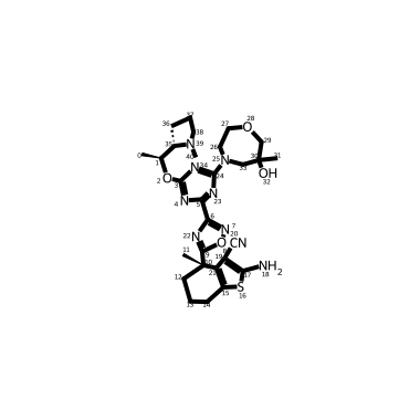 C[C@H](Oc1nc(-c2noc([C@@]3(C)CCCc4sc(N)c(C#N)c43)n2)nc(N2CCOCC(C)(O)C2)n1)[C@@H]1CCCN1C